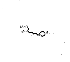 CCC[C@@H](CCCCCN1CCN(CC)CC1)COC